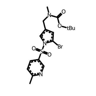 Cc1ccc(S(=O)(=O)n2cc(CN(C)C(=O)OC(C)(C)C)cc2Br)cn1